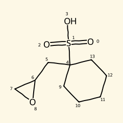 O=S(=O)(O)C1(CC2CO2)CCCCC1